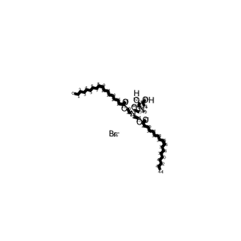 CCCCCCCC/C=C\CCCCCCCC(=O)OCCN(CCOC(=O)CCCCCCC/C=C\CCCCCCCC)C(=O)C[N+](C)(CCO)CCO.[Br-]